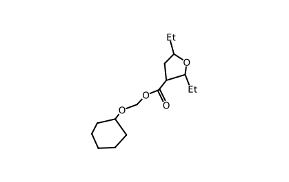 CCC1CC(C(=O)OCOC2CCCCC2)C(CC)O1